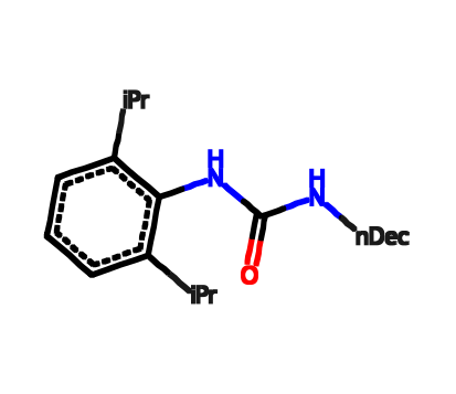 CCCCCCCCCCNC(=O)Nc1c(C(C)C)cccc1C(C)C